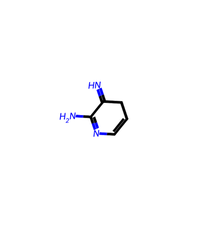 N=C1CC=CN=C1N